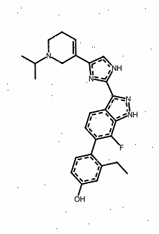 CCc1cc(O)ccc1-c1ccc2c(-c3nc(C4=CCCN(C(C)C)C4)c[nH]3)n[nH]c2c1F